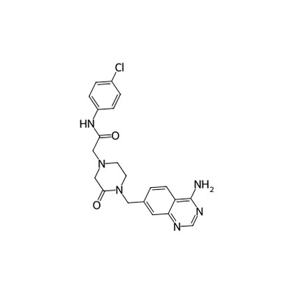 Nc1ncnc2cc(CN3CCN(CC(=O)Nc4ccc(Cl)cc4)CC3=O)ccc12